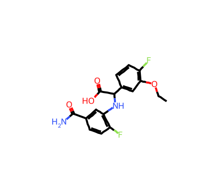 CCOc1cc(C(Nc2cc(C(N)=O)ccc2F)C(=O)O)ccc1F